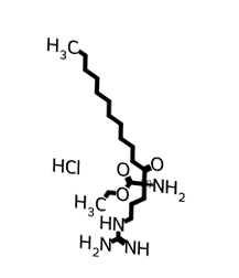 CCCCCCCCCCCC(=O)[C@](N)(CCCNC(=N)N)C(=O)OCC.Cl